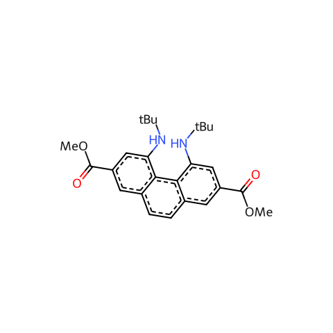 COC(=O)c1cc(NC(C)(C)C)c2c(ccc3cc(C(=O)OC)cc(NC(C)(C)C)c32)c1